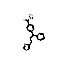 CC(C)(C)NC(=O)c1ccc(/C(=C/Cc2c[nH]cn2)c2ccccc2)cc1